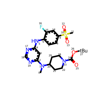 CN(c1cc(Nc2ccc(S(C)(=O)=O)cc2F)ncn1)C1CCN(C(=O)OC(C)(C)C)CC1